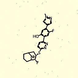 Cn1cc(-c2cc(O)c(-c3ccc(S[C@@H]4CC5CCCC(N5)[C@@H]4F)nn3)cc2F)cn1